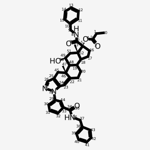 CCC(=O)O[C@]1(C(=O)NCc2ccccc2)CCC2C3CCC4=Cc5c(cnn5-c5cccc(C(=O)NCc6ccccc6)c5)C[C@]4(C)C3[C@@H](O)C[C@@]21C